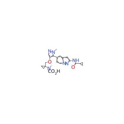 CN(C(=O)O)C1(COc2cnn(C)c2-c2ccn3nc(NC(=O)C4CC4)cc3c2)CC1